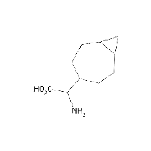 NC(C(=O)O)C1CCC2CC2CC1